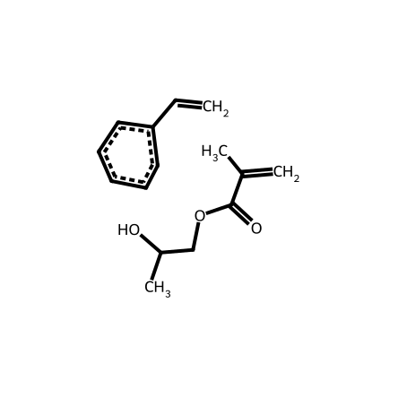 C=C(C)C(=O)OCC(C)O.C=Cc1ccccc1